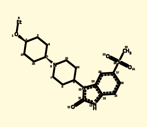 CCO[C@H]1CC[C@H](N2CCC(n3c(=O)[nH]c4ccc(S(C)(=O)=O)cc43)CC2)CC1